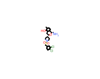 Cc1ccc2c(c1O)C[C@@H](C1CCN(S(=O)(=O)Cc3ccc(Cl)c(Cl)c3)CC1)O[C@H]2CN